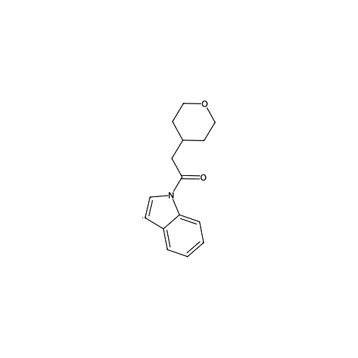 O=C(CC1CCOCC1)n1c[c]c2ccccc21